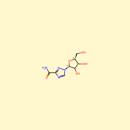 NC(=O)c1ncn([C@H]2O[C@@H](CO)C(O)C2O)n1